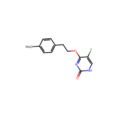 COc1ccc(CCOc2nc(=O)[nH]cc2F)cc1